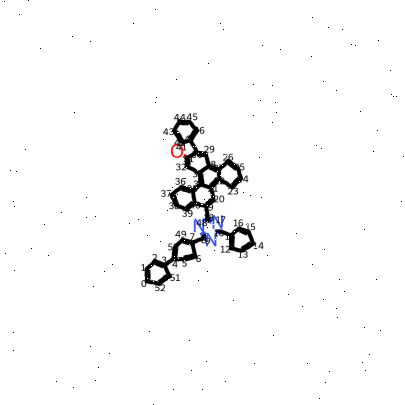 c1ccc(-c2ccc(-c3nc(-c4ccccc4)nc(-c4cc5c6ccccc6c6cc7c(cc6c5c5ccccc45)oc4ccccc47)n3)cc2)cc1